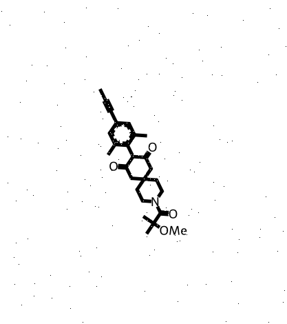 CC#Cc1cc(C)c(C2C(=O)CC3(CCN(C(=O)C(C)(C)OC)CC3)CC2=O)c(C)c1